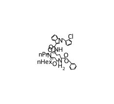 CCCCCC[C@@H](CC(N)=O)N(CCC)C(=O)[C@H](CCCC(=O)OCc1ccccc1)NC(=O)c1cn(Cc2ccccc2Cl)c2ccccc12